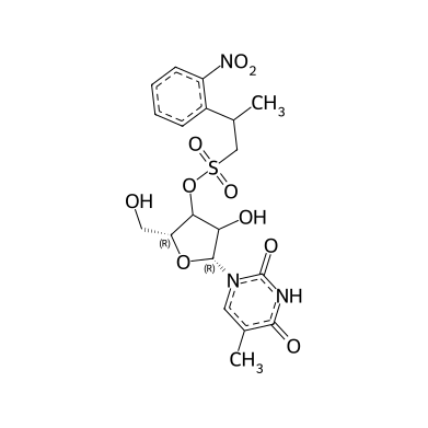 Cc1cn([C@@H]2O[C@H](CO)C(OS(=O)(=O)CC(C)c3ccccc3[N+](=O)[O-])C2O)c(=O)[nH]c1=O